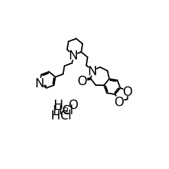 Cl.Cl.O.O=C1Cc2cc3c(cc2CCN1CCC1CCCCN1CCCc1ccncc1)OCO3